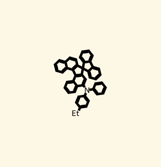 CCc1ccc(N(c2ccccc2)c2cc3c(c4ccccc24)-c2c(ccc4ccccc24)C32c3ccccc3-c3ccccc32)cc1